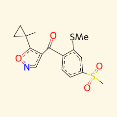 CSc1cc(S(C)(=O)=O)ccc1C(=O)c1cnoc1C1(C)CC1